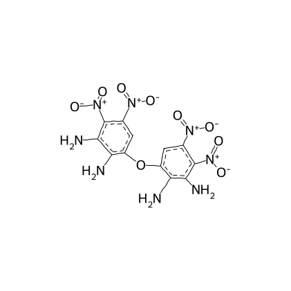 Nc1c(Oc2cc([N+](=O)[O-])c([N+](=O)[O-])c(N)c2N)cc([N+](=O)[O-])c([N+](=O)[O-])c1N